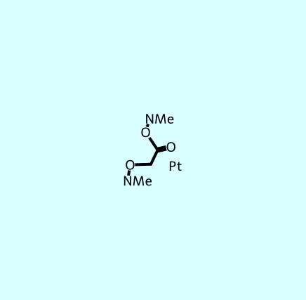 CNOCC(=O)ONC.[Pt]